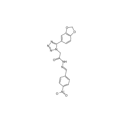 O=C(Cn1nnnc1-c1ccc2c(c1)OCO2)NN=Cc1ccc([N+](=O)[O-])cc1